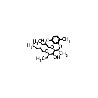 CCCCO[C@H]([C@@H](O)[C@@H](CC)OCCCC)[C@@H](C)Oc1cc(C)ccc1C